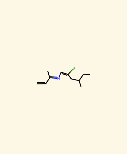 C=C/C(C)=N/C=C(/Br)CC(C)CC